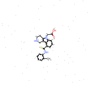 Cc1ccccc1NC(=S)c1cccc2c1c1c(n2CC(=O)O)CCNC1